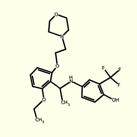 CCOc1cccc(OCCN2CCOCC2)c1C(C)Nc1ccc(O)c(C(F)(F)F)c1